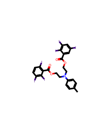 Cc1ccc(N(CCOC(=O)c2cc(I)cc(I)c2I)CCOC(=O)c2c(I)ccc(I)c2I)cc1